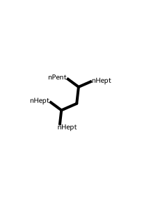 CCCCCCCC(CCCCC)CC(CCCCCCC)CCCCCCC